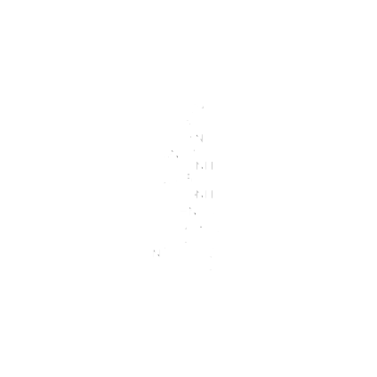 CC1=CC(=O)NC(NC(=O)NNC2(C)CC(C#N)CC(C)(C)C2)N1